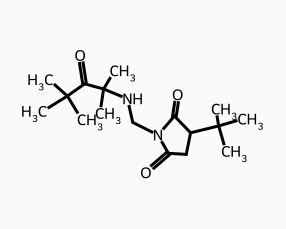 CC(C)(C)C(=O)C(C)(C)NCN1C(=O)CC(C(C)(C)C)C1=O